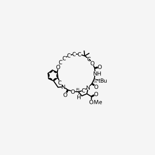 COC(=O)C1C[C@@H]2CN1C(=O)[C@H](C(C)(C)C)NC(=O)OCC(C)(C)CCCCCOc1cccc3c1CN(C3)C(=O)O2